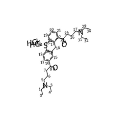 CCN(CC)CCCC(=O)c1ccc2c(c1)Cc1c(cccc1C(=O)CCCN(CC)CC)S2.Cl.Cl